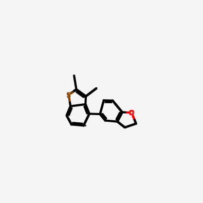 Cc1sc2cc[c]c(-c3ccc4c(c3)CCO4)c2c1C